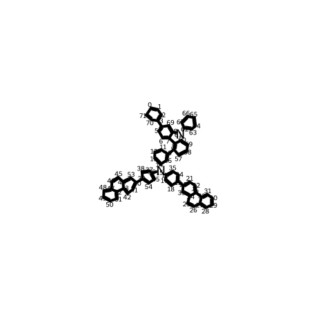 c1ccc(-c2ccc3c4c(-c5cccc(N(c6ccc(-c7ccc8c(ccc9ccccc98)c7)cc6)c6ccc(-c7ccc8c(ccc9ccccc98)c7)cc6)c5)cccc4n(-c4ccccc4)c3c2)cc1